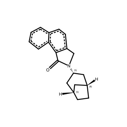 O=C1c2c(ccc3ccccc23)CN1[C@@H]1C[C@@H]2CC[C@@H](C2)C1